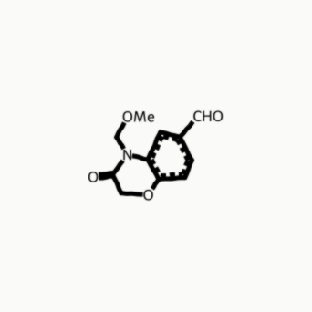 COCN1C(=O)COc2ccc(C=O)cc21